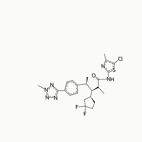 Cc1nc(NC(=O)C(C)[C@@H]([C@H]2CCC(F)(F)C2)[C@H](C)c2ccc(-c3nnn(C)n3)cc2)sc1Cl